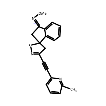 CO/N=C1/CC2(CC(C#Cc3cccc(C)n3)=NO2)c2ccccc21